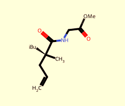 C=CC[C@@](C)(C(=O)NCC(=O)OC)C(C)CC